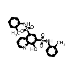 Cc1ccccc1NS(=O)(=O)c1cc(S(=O)(=O)Nc2ccccc2C)c2cccnc2c1O